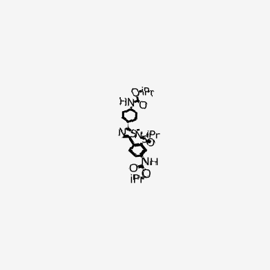 CN=S(=O)(c1cc(NC(=O)OC(C)C)ccc1-c1cnc([C@H]2CC[C@H](NC(=O)OC(C)C)CC2)s1)C(C)C